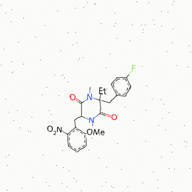 CCC1(Cc2ccc(F)cc2)C(=O)N(C)C(Cc2c(OC)cccc2[N+](=O)[O-])C(=O)N1C